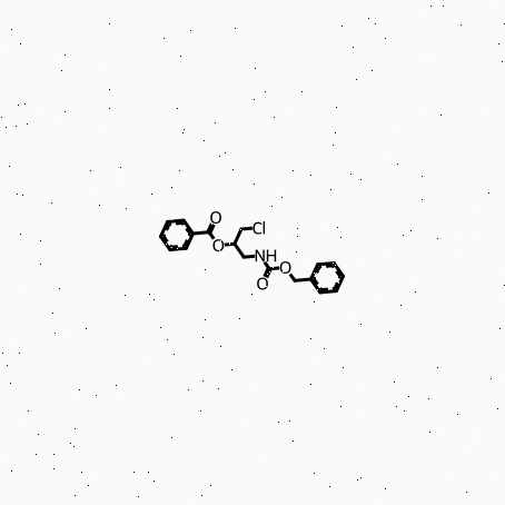 O=C(NCC(CCl)OC(=O)c1ccccc1)OCc1ccccc1